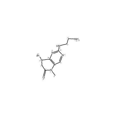 CC(C)N1CC(=O)N(C)c2cnc(NCCN)nc21